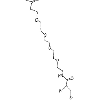 CC(=O)CCOCCOCCOCCOCCNC(=O)C(Br)CBr